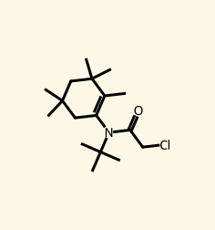 CC1=C(N(C(=O)CCl)C(C)(C)C)CC(C)(C)CC1(C)C